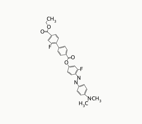 CCOC(=O)c1ccc(-c2ccc(C(=O)Oc3ccc(/N=N/c4ccc(N(C)C)cc4)c(F)c3)cc2)c(F)c1